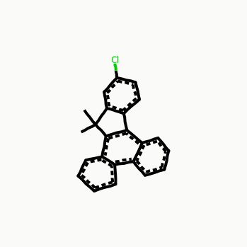 CC1(C)c2cc(Cl)ccc2-c2c1c1ccccc1c1ccccc21